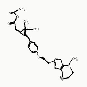 CN1CCNc2nc(CCOc3ccc(C4C(CC(=O)OC(=O)C(F)(F)F)C4(C)C)cc3)ccc21